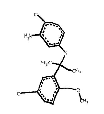 COc1ccc(Cl)cc1C(C)(C)Sc1ccc(Cl)c(N)c1